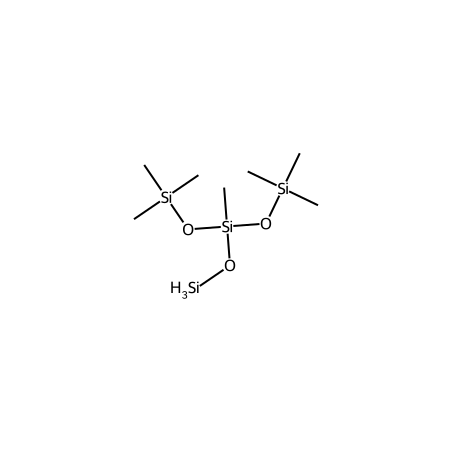 C[Si](C)(C)O[Si](C)(O[SiH3])O[Si](C)(C)C